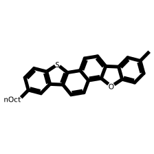 CCCCCCCCc1ccc2sc3c(ccc4c3ccc3c5cc(C)ccc5oc34)c2c1